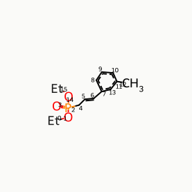 CCOP(=O)(CC=Cc1cccc(C)c1)OCC